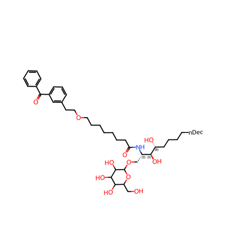 CCCCCCCCCCCCCC[C@@H](O)[C@@H](O)[C@H](COC1OC(CO)C(O)C(O)C1O)NC(=O)CCCCCCCOCCc1cccc(C(=O)c2ccccc2)c1